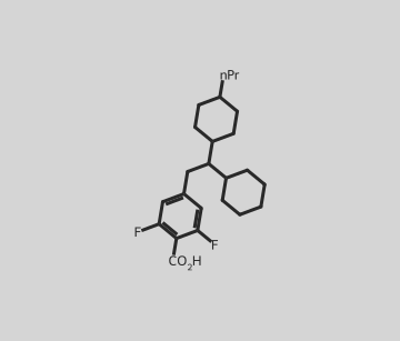 CCCC1CCC(C(Cc2cc(F)c(C(=O)O)c(F)c2)C2CCCCC2)CC1